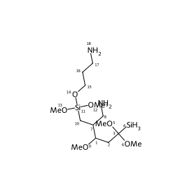 COC(CC([SiH3])(OC)OC)C(CN)C[Si](OC)(OC)OCCCN